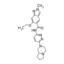 CCOc1cc2nn(C)cc2cc1C(=O)Nc1ccc(N2CCN3CCCC3C2)nn1